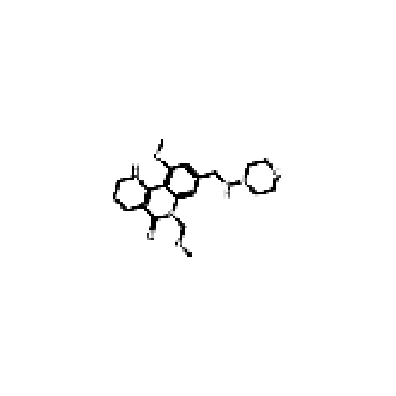 COCn1c(=O)c2c(c3c(OC)cc(CNN4CCOCC4)cc31)NCCC2